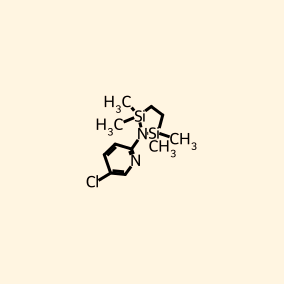 C[Si]1(C)CC[Si](C)(C)N1c1ccc(Cl)cn1